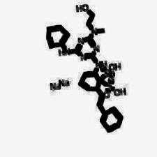 CN(CCO)c1nc(NC2=CC=CC(C=Cc3ccccc3)C2(S(=O)(=O)O)S(=O)(=O)O)nc(Nc2ccccc2)n1.[Na].[Na]